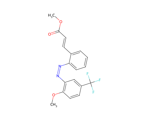 COC(=O)/C=C/c1ccccc1/N=N\c1cc(C(F)(F)F)ccc1OC